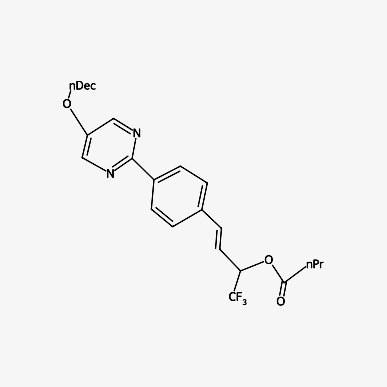 CCCCCCCCCCOc1cnc(-c2ccc(/C=C/C(OC(=O)CCC)C(F)(F)F)cc2)nc1